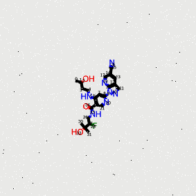 CC(O)CCNc1cc(-n2ncc3cc(C#N)cnc32)ncc1C(=O)NCC(F)C(C)(C)O